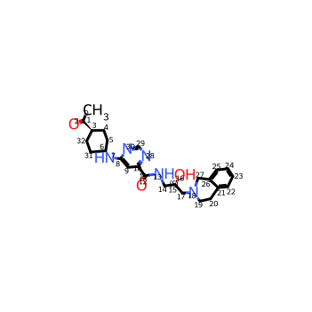 CC(=O)[C@H]1CC[C@H](Nc2cc(C(=O)NC[C@H](O)CN3CCc4ccccc4C3)ncn2)CC1